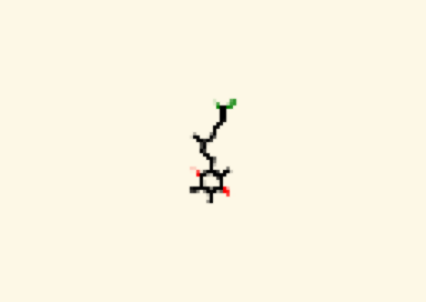 CC1=C(C)C(=O)C(CCC(C)CCC=C(F)F)=C(C)C1=O